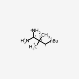 CCCCCC(C)(C)C(N)N